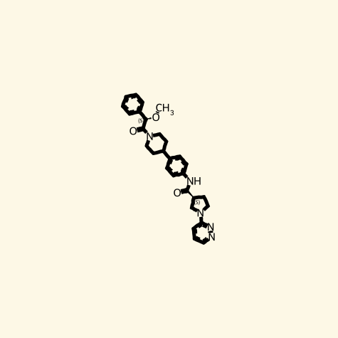 CO[C@H](C(=O)N1CCC(c2ccc(NC(=O)[C@H]3CCN(c4cccnn4)C3)cc2)CC1)c1ccccc1